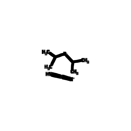 CC(C)[B]C(C)C.[N-]=[N+]=N